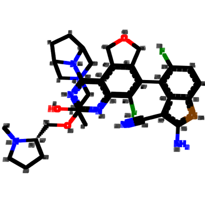 CC(O)CN1CC2CCC(C1)N2c1nc(OC[C@@H]2CCCN2C)nc2c(F)c(-c3c(F)ccc4sc(N)c(C#N)c34)c3c(c12)COC3